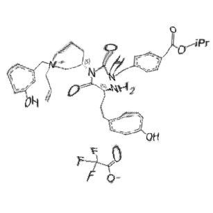 C=CC[N+]1(Cc2cccc(O)c2)CCC[C@H](N(C(=O)Nc2ccc(C(=O)OC(C)C)cc2)C(=O)[C@@H](N)Cc2ccc(O)cc2)C1.O=C([O-])C(F)(F)F